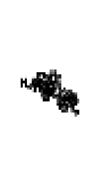 CCC(c1ccc(C2(C)C=CC=CC2CC(N)=O)c([N+](=O)[O-])c1)n1ccnc1